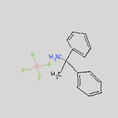 CC([NH3+])(c1ccccc1)c1ccccc1.F[B-](F)(F)F